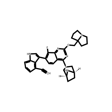 C#Cc1cccc2[nH]cc(-c3ccc4c(N5C[C@H]6CC[C@@H](C5)N6)nc(OCC56CCCN5CCC6)nc4c3F)c12